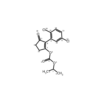 CC(C)OC(=O)OC1=C(c2cc(Cl)ccc2Cl)C(=O)CC1